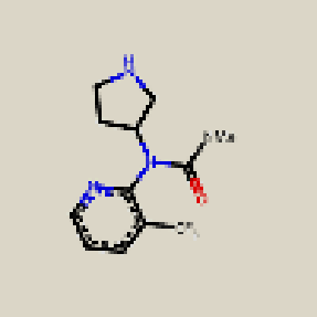 CNC(=O)N(c1ncccc1C(F)(F)F)C1CCNC1